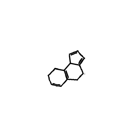 [C]1CC2=C(CCC=C2)C2C=CC=C12